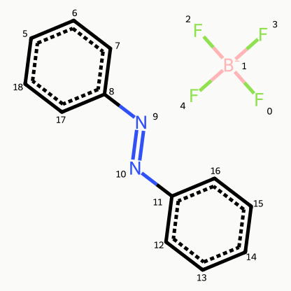 F[B-](F)(F)F.c1ccc(/N=N/c2ccccc2)cc1